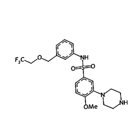 COc1ccc(S(=O)(=O)Nc2cccc(COCC(F)(F)F)c2)cc1N1CCNCC1